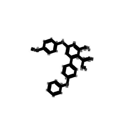 COc1ccc(Oc2cc(-c3ccc(Oc4ccccc4)cc3)c(C(=N)N)c(N)n2)cc1